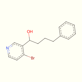 OC(CCCc1ccccc1)c1cnccc1Br